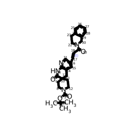 CC(C)(C)OC(=O)N1CCC2(CC1)Cc1cc(/C=C/C(=O)N3CCc4ccccc4C3)cnc1NC2=O